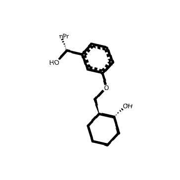 CCC[C@@H](O)c1cccc(OC[C@@H]2CCCC[C@H]2O)c1